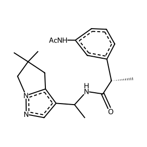 CC(=O)Nc1cccc([C@H](C)C(=O)NC(C)c2cnn3c2CC(C)(C)C3)c1